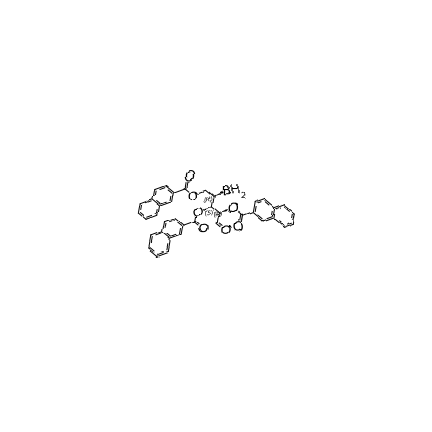 B[C@H](COC(=O)c1ccc2ccccc2c1)[C@H](OC(=O)c1ccc2ccccc2c1)[C@H](C=O)OC(=O)c1ccc2ccccc2c1